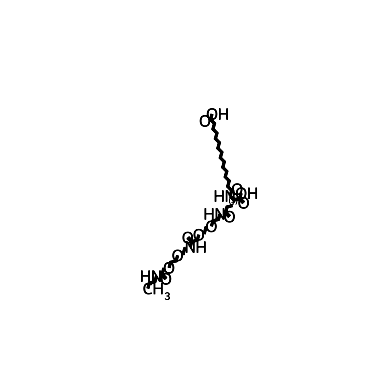 CCCNC(=O)COCCOCCNC(=O)COCCOCCNC(=O)CC[C@H](NC(=O)CCCCCCCCCCCCCCC(=O)O)C(=O)O